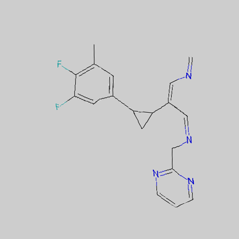 C=N/C=C(\C=N/Cc1ncccn1)C1CC1c1cc(C)c(F)c(F)c1